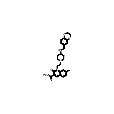 COC(=O)c1cc2ccc(C)cc2n(CCN2CCC(NCc3ccc4c(c3)OCCO4)CC2)c1=O